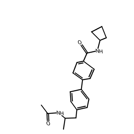 CC(=O)NC(C)Cc1ccc(-c2ccc(C(=O)NC3CCC3)cc2)cc1